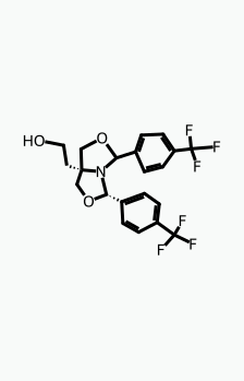 OCC[C@]12COC(c3ccc(C(F)(F)F)cc3)N1[C@H](c1ccc(C(F)(F)F)cc1)OC2